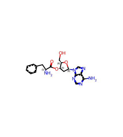 Nc1ncnc2c1ncn2[C@H]1C[C@H](OC(=O)[C@@H](N)Cc2ccccc2)[C@@H](CO)O1